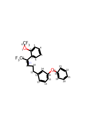 FC(F)(F)Oc1ccccc1/C(=C\CCc1cccc(Oc2ccccc2)c1)C(F)(F)F